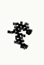 CC[C@H](C)[C@H](NC(=O)[C@@H]1CCCN1)C(=O)N[C@@H](CO)C(=O)N[C@@H](CCSC)C(=O)N[C@@H](CO)C(=O)N[C@H](C(=O)N[C@@H](CC(C)C)C(=O)O)[C@@H](C)O